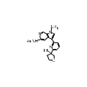 CC[C@]1(c2cccc(-c3cn(C)c4cnc(NC(C)=O)cc34)n2)CCOC1